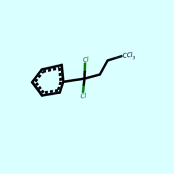 ClC(Cl)(Cl)CCC(Cl)(Cl)c1ccccc1